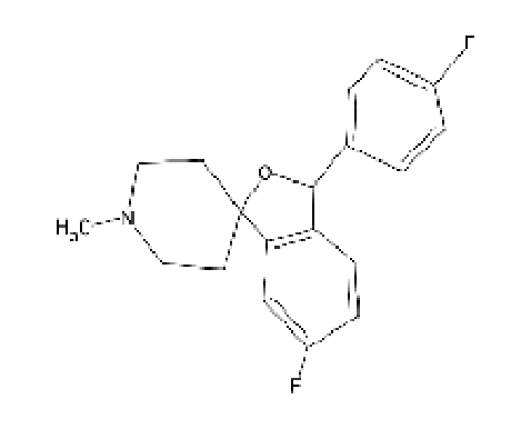 CN1CCC2(CC1)OC(c1ccc(F)cc1)c1ccc(F)cc12